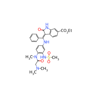 CCOC(=O)c1ccc2c(c1)NC(=O)C2=C(Nc1ccc(N(C)C(=O)CN(C)C)c(NS(C)(=O)=O)c1)c1ccccc1